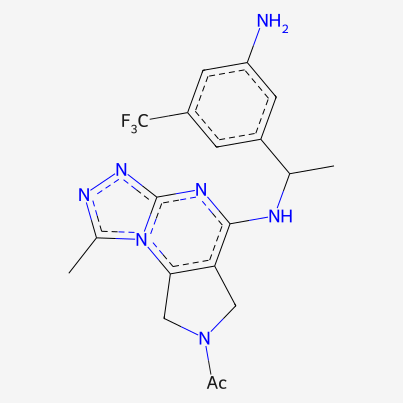 CC(=O)N1Cc2c(NC(C)c3cc(N)cc(C(F)(F)F)c3)nc3nnc(C)n3c2C1